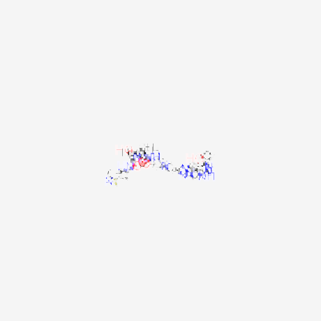 Cc1ncsc1-c1ccc(CNC(=O)[C@@H]2C[C@@H](O)CN2C(=O)[C@@H](NC(=O)C2CCC(N3CCC(c4cnc(N5CCc6[nH]c7nnc(-c8ccccc8O)cc7c6[C@@H]5C)nc4)CC3)CC2)C(C)(C)C)cc1